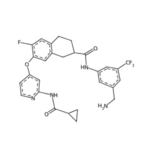 NCc1cc(NC(=O)C2CCc3cc(F)c(Oc4ccnc(NC(=O)C5CC5)c4)cc3C2)cc(C(F)(F)F)c1